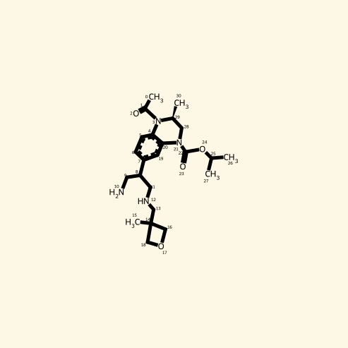 CC(=O)N1c2ccc(C(CN)CNCC3(C)COC3)cc2N(C(=O)OC(C)C)C[C@@H]1C